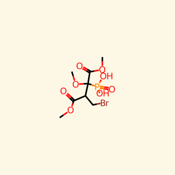 COC(=O)C(CBr)C(OC)(C(=O)OC)P(=O)(O)O